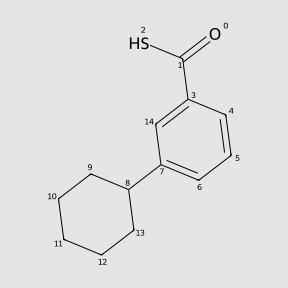 O=C(S)c1cccc(C2CCCCC2)c1